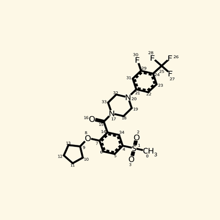 CS(=O)(=O)c1ccc(OC2CCCC2)c(C(=O)N2CCN(c3ccc(C(F)(F)F)c(F)c3)CC2)c1